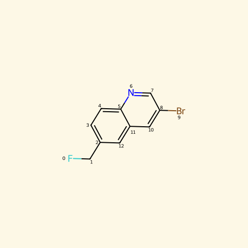 FCc1ccc2ncc(Br)cc2c1